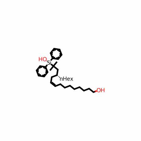 CCCCCC[C@H](C/C=C\CCCCCCCCO)CC(C)(C)[Si](O)(c1ccccc1)c1ccccc1